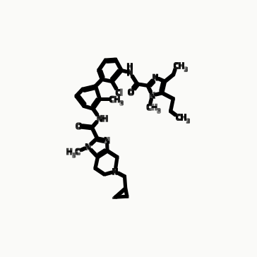 CCCc1c(CC)nc(C(=O)Nc2cccc(-c3cccc(NC(=O)c4nc5c(n4C)CCN(CC4CC4)C5)c3C)c2Cl)n1C